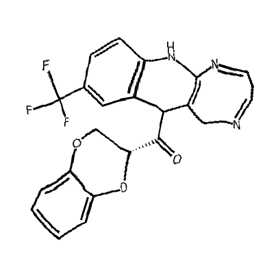 O=C(C1C2=C(N=CC=NC2)Nc2ccc(C(F)(F)F)cc21)[C@H]1COc2ccccc2O1